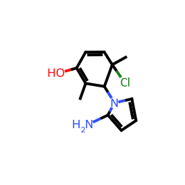 CC1=C(O)C=CC(C)(Cl)C1n1cccc1N